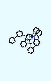 c1ccc(-c2cccc(-c3cc(-c4ccccc4)nc(C4(c5ccccc5)c5ccccc5-c5ccc6c([nH]c7ccccc76)c54)n3)c2)cc1